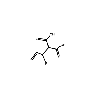 C=CC(F)C(C(=O)O)C(=O)O